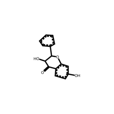 O=C1c2ccc(O)cc2OC(c2ccccc2)C1O